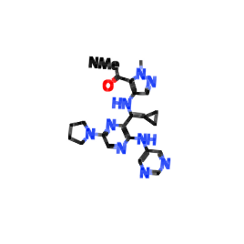 CNC(=O)c1c(NC(=C2CC2)c2nc(N3CCCC3)cnc2Nc2cncnc2)cnn1C